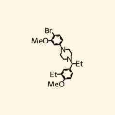 CCc1cc(C(CC)N2CCN(c3ccc(Br)c(OC)c3)CC2)ccc1OC